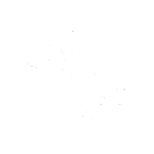 C=CC1=CC(N2c3ccc(C4=CC5C6C=CC=CC6N(c6cccc(C=C)c6)C5C=C4)cc3C3C=CC=CC32)=CCC1